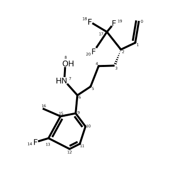 C=C[C@H](CCCC(NO)c1cccc(F)c1C)C(F)(F)F